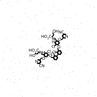 N#Cc1cncc(COc2cc(OCc3cccc(-c4cccc(COc5cc(OCc6cncc(C#N)c6)c(CN[C@@H](CCO)C(=O)O)cc5Cl)c4Cl)c3Cl)c(Cl)cc2CN[C@@H](CCO)C(=O)O)c1